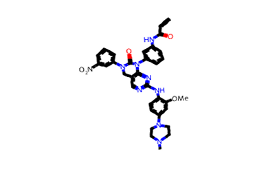 C=CC(=O)Nc1cccc(N2C(=O)N(c3cccc([N+](=O)[O-])c3)Cc3cnc(Nc4ccc(N5CCN(C)CC5)cc4OC)nc32)c1